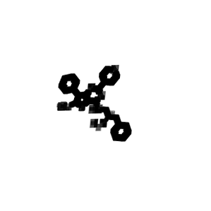 CC(C)(C)c1sc2c(NC[C@@H](N)Cc3ccccc3)nc(-c3ccncc3)nc2c1-c1ccccc1